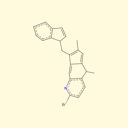 CC1=C(CC2C=Cc3ccccc32)C2=Cc3nc(Br)ccc3C(C)C2=C1